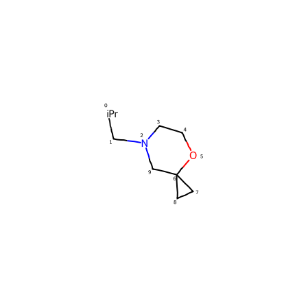 CC(C)CN1CCOC2(CC2)C1